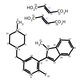 CN1CCN(Cc2cnc(F)c(-c3cc4ccccc4n3C)c2)CC1.O=C(O)/C=C/C(=O)O.O=C(O)/C=C/C(=O)O